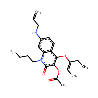 C=CCNc1ccc2c(OC(=CC)CC)c(OC(C)=O)c(=O)n(CCCC)c2c1